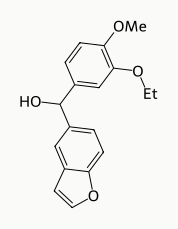 CCOc1cc(C(O)c2ccc3occc3c2)ccc1OC